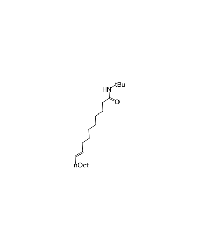 CCCCCCCCC=CCCCCCCCC(=O)NC(C)(C)C